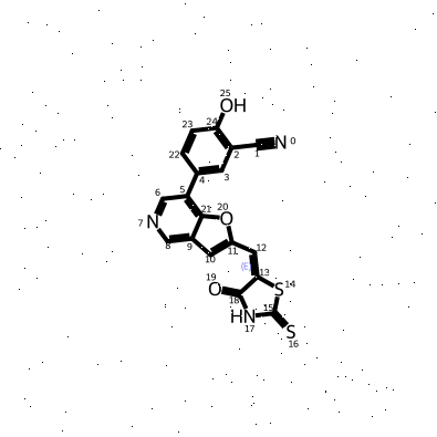 N#Cc1cc(-c2cncc3cc(/C=C4/SC(=S)NC4=O)oc23)ccc1O